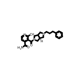 Cc1nccc(C(N)=O)c1C(=O)N1CC2CN(CC[CH]c3ccccc3)C[C@H]2C1